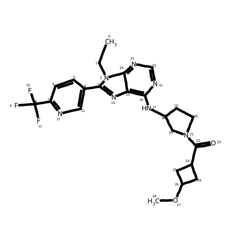 CCn1c(-c2ccc(C(F)(F)F)nc2)nc2c(NC3CCN(C(=O)C4CC(OC)C4)C3)ncnc21